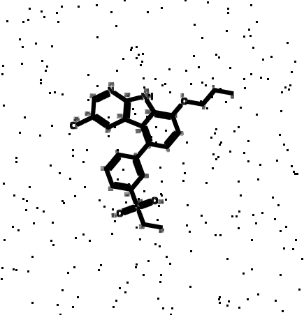 CCCOc1ccc(-c2cccc(S(=O)(=O)CC)c2)c2c1[nH]c1ncc(Cl)cc12